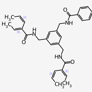 C/C=C\C(=C/C)C(=O)NCc1cc(CNC(=O)C(/C=C\C)=C/C)cc(CNC(=O)c2ccccc2)c1